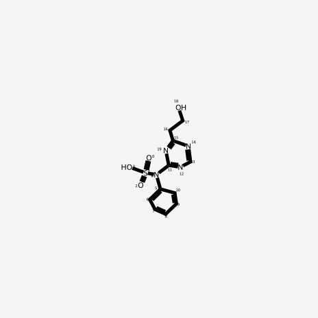 O=S(=O)(O)N(c1ccccc1)c1ncnc(CCO)n1